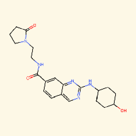 O=C(NCCN1CCCC1=O)c1ccc2cnc(NC3CCC(O)CC3)nc2c1